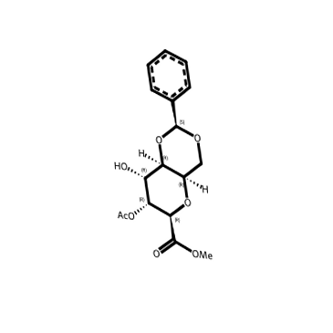 COC(=O)[C@@H]1O[C@@H]2CO[C@H](c3ccccc3)O[C@@H]2[C@@H](O)[C@H]1OC(C)=O